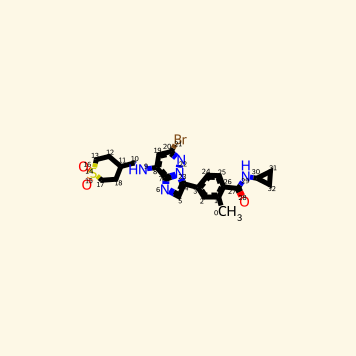 Cc1cc(-c2cnc3c(NCC4CCS(=O)(=O)CC4)cc(Br)nn23)ccc1C(=O)NC1CC1